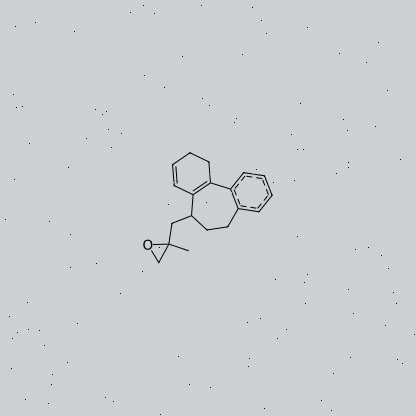 CC1(CC2CCc3ccccc3C3=C2C=CCC3)CO1